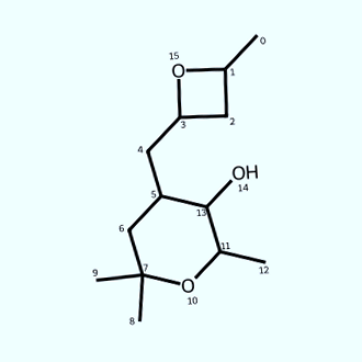 CC1CC(CC2CC(C)(C)OC(C)C2O)O1